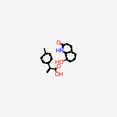 C=C(C(=O)O)c1ccc(C)cc1.O=c1ccc2cccc(O)c2[nH]1